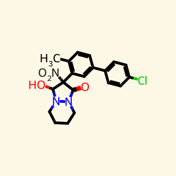 Cc1ccc(-c2ccc(Cl)cc2)cc1C1([N+](=O)[O-])C(=O)N2CCCCN2C1O